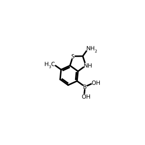 Cc1ccc(B(O)O)c2c1SC(N)N2